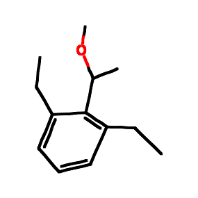 CCc1cccc(CC)c1C(C)OC